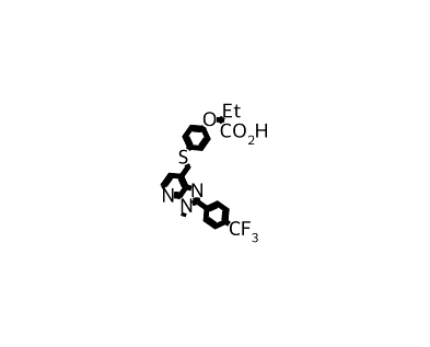 CCC(Oc1ccc(SCc2ccnc3c2nc(-c2ccc(C(F)(F)F)cc2)n3C)cc1)C(=O)O